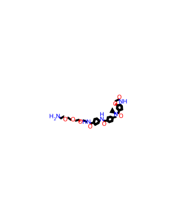 NCCOCCOCCOCCNC(=O)c1ccc(NC(=O)c2ccc(CN(C(=O)c3ccc4c(c3)OCC(=O)N4)C3CC3)cc2)cc1